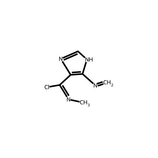 C=Nc1[nH]cnc1/C(Cl)=N\C